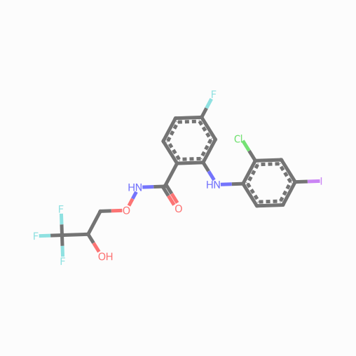 O=C(NOCC(O)C(F)(F)F)c1ccc(F)cc1Nc1ccc(I)cc1Cl